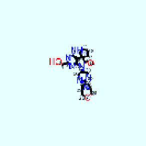 Nc1nc(CO)nc2c1C1(CCCC1)C(=O)N2c1cnc(N2C3CCC2COC3)nc1